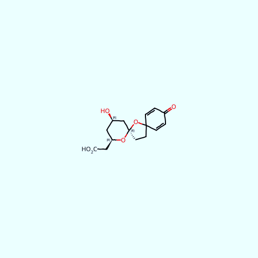 O=C1C=CC2(C=C1)CC[C@]1(C[C@H](O)C[C@H](CC(=O)O)O1)O2